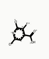 O=C(O)c1cc(Cl)nc(Cl)c1F